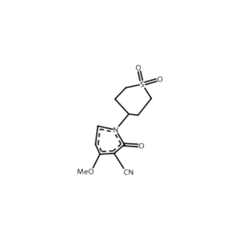 COc1ccn(C2CCS(=O)(=O)CC2)c(=O)c1C#N